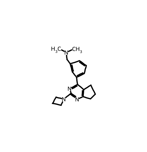 CN(C)Cc1cccc(-c2nc(N3CCC3)nc3c2CCC3)c1